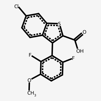 COc1ccc(F)c(-c2c(C(=O)O)sc3cc(Cl)ccc23)c1F